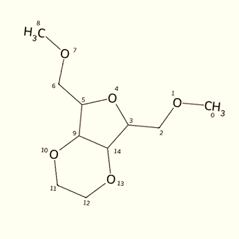 COCC1OC(COC)C2OCCOC12